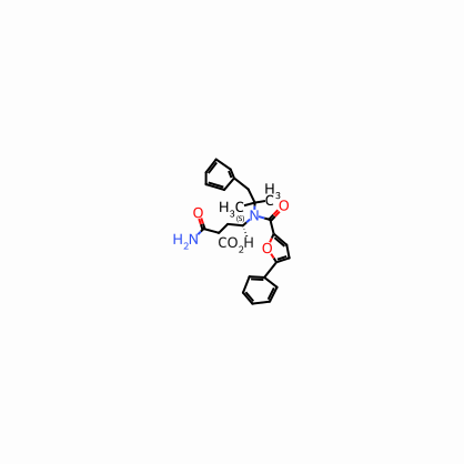 CC(C)(Cc1ccccc1)N(C(=O)c1ccc(-c2ccccc2)o1)[C@@H](CCC(N)=O)C(=O)O